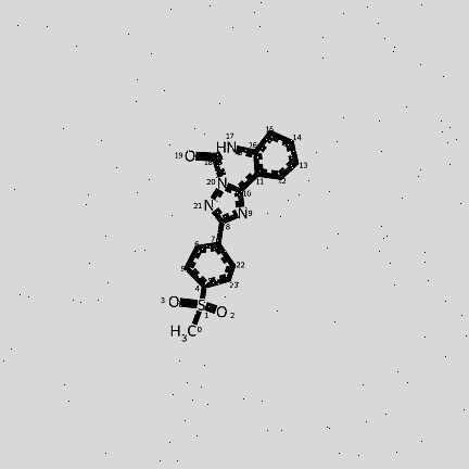 CS(=O)(=O)c1ccc(-c2nc3c4ccccc4[nH]c(=O)n3n2)cc1